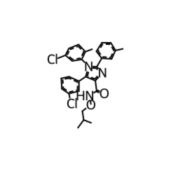 Cc1cccc(-c2nc(C(=O)NOCC(C)C)c(-c3cccc(Cl)c3)n2-c2cc(Cl)ccc2C)c1